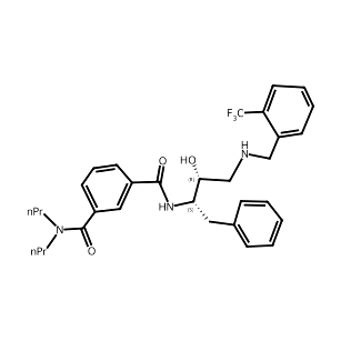 CCCN(CCC)C(=O)c1cccc(C(=O)N[C@@H](Cc2ccccc2)[C@H](O)CNCc2ccccc2C(F)(F)F)c1